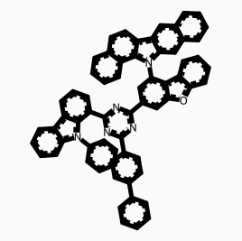 c1ccc(-c2ccc(-c3nc(-c4cc(-n5c6cc7ccccc7cc6c6ccc7ccccc7c65)c5c(c4)oc4ccccc45)nc(-c4cccc5c6ccccc6n(-c6ccccc6)c45)n3)cc2)cc1